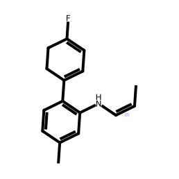 C/C=C\Nc1cc(C)ccc1C1=CC=C(F)CC1